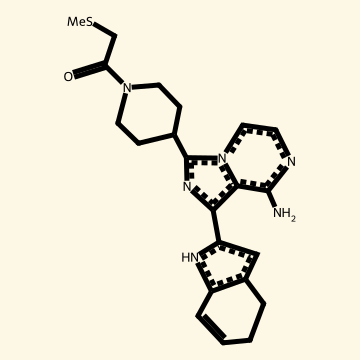 CSCC(=O)N1CCC(c2nc(-c3cc4c([nH]3)C=CCC4)c3c(N)nccn23)CC1